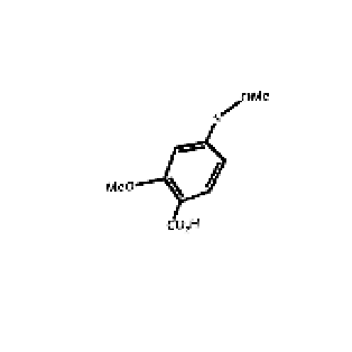 COSc1ccc(C(=O)O)c(OC)c1